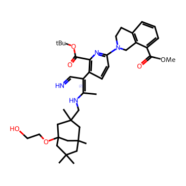 COC(=O)c1cccc2c1CN(c1ccc(/C(C=N)=C(\C)NCC3(C)CC4(C)CC(C)(C)CC(OCCO)(C3)C4)c(C(=O)OC(C)(C)C)n1)CC2